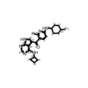 O=C(c1ccc(NC2CCC(F)CC2)nc1F)c1c[nH]c2ncnc(NC3CCC3)c12